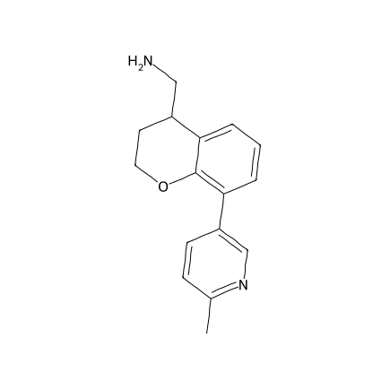 Cc1ccc(-c2cccc3c2OCCC3CN)cn1